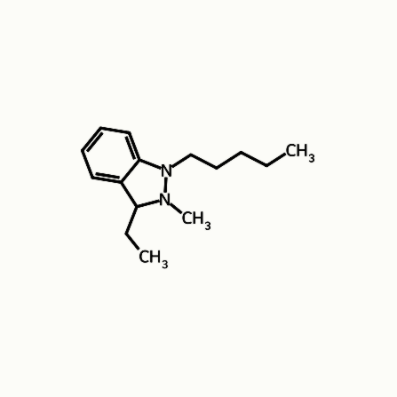 CCCCCN1c2ccccc2C(CC)N1C